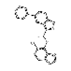 C[C@@H](Oc1c(N)ncc2ccoc12)c1nnc2ccc(-c3ccccc3)nn12